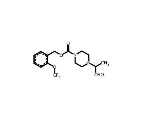 CC(C=O)N1CCN(C(=O)OCc2ccccc2OC(F)(F)F)CC1